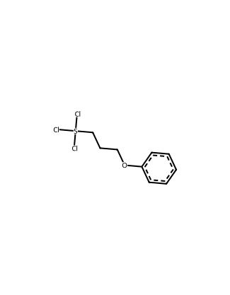 ClS(Cl)(Cl)CCCOc1ccccc1